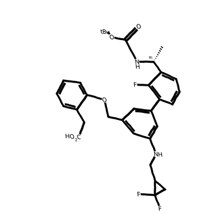 C[C@@H](NC(=O)OC(C)(C)C)c1cccc(-c2cc(COc3ccccc3CC(=O)O)cc(NCC3CC3(F)F)c2)c1F